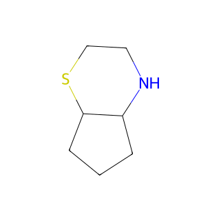 C1CC2NCCSC2C1